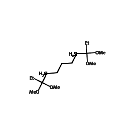 CCC(OC)(OC)[SiH2]CCC[SiH2]C(CC)(OC)OC